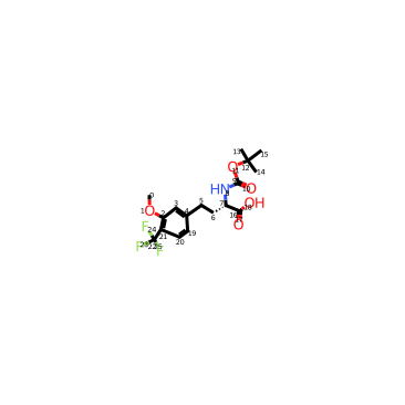 COc1cc(CC[C@H](NC(=O)OC(C)(C)C)C(=O)O)ccc1C(F)(F)F